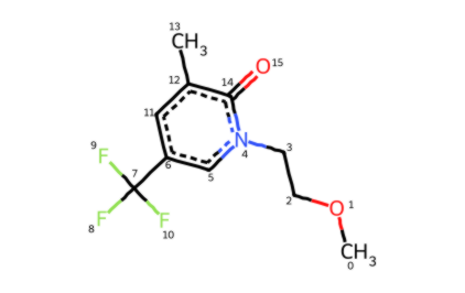 COCCn1cc(C(F)(F)F)cc(C)c1=O